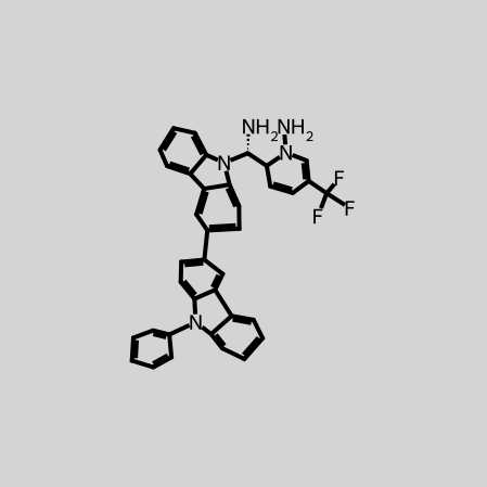 N[C@H](C1C=CC(C(F)(F)F)=CN1N)n1c2ccccc2c2cc(-c3ccc4c(c3)c3ccccc3n4-c3ccccc3)ccc21